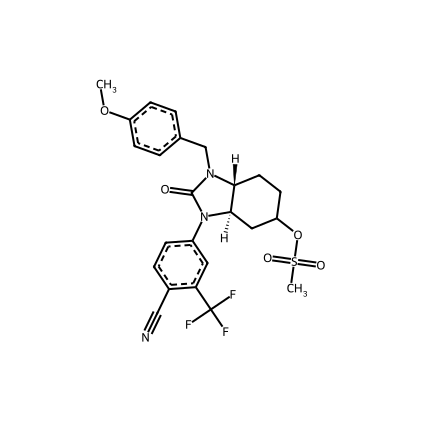 COc1ccc(CN2C(=O)N(c3ccc(C#N)c(C(F)(F)F)c3)[C@@H]3CC(OS(C)(=O)=O)CC[C@H]32)cc1